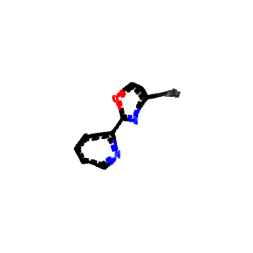 CCCCc1coc(-c2ccccn2)n1